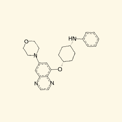 c1ccc(N[C@H]2CC[C@@H](Oc3cc(N4CCOCC4)cc4nccnc34)CC2)cc1